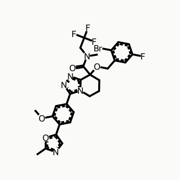 COc1cc(-c2nnc3n2CCCC3(OCc2cc(F)ccc2Br)C(=O)N(C)CC(F)(F)F)ccc1-c1cnc(C)o1